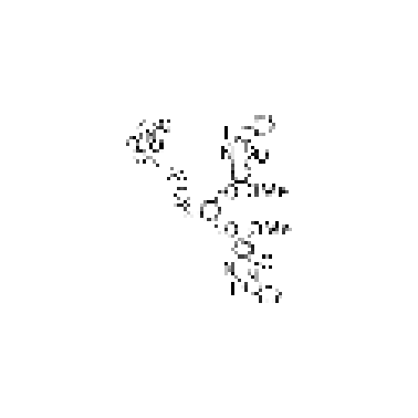 COc1cc2c(cc1OCc1cc(COc3cc4c(cc3OC)C(=O)N3c5ccccc5C[C@H]3C=N4)cc(SC(C)(C)COC(C)(C)CCC(=O)ON3C(=O)CCC3=O)c1)N=C[C@@H]1Cc3ccccc3N1C2=O